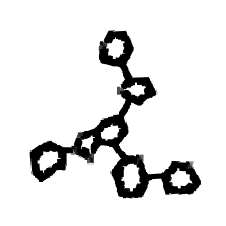 c1ccc(-n2nc3cc(-c4cccc(-c5cccnc5)n4)cc(-c4cccc(-c5cccnc5)n4)c3n2)cc1